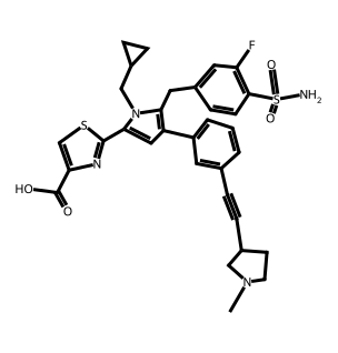 CN1CCC(C#Cc2cccc(-c3cc(-c4nc(C(=O)O)cs4)n(CC4CC4)c3Cc3ccc(S(N)(=O)=O)c(F)c3)c2)C1